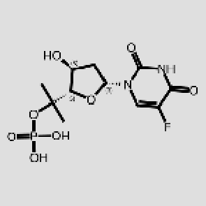 CC(C)(OP(=O)(O)O)[C@H]1O[C@@H](n2cc(F)c(=O)[nH]c2=O)C[C@@H]1O